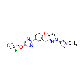 Cn1cc(-n2ccc(=O)c(Cc3cccc(-c4ncc(OCC5(F)COC5)cn4)c3)n2)cn1